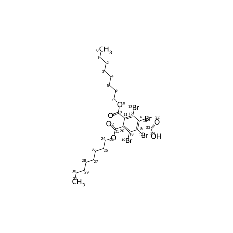 CCCCCCCCOC(=O)c1c(Br)c(Br)c(Br)c(Br)c1C(=O)OCCCCCCCC.O=CO